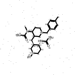 Cc1ccc(CN2CCC(N(C)C(=O)C(C)(C)C)C(C[C@@H]3CN(C(C)C)CC[C@H]3NC(=O)C(C)(C)C)C2)cc1